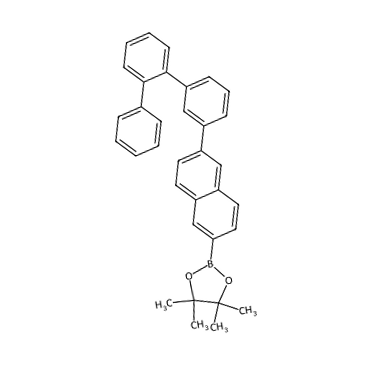 CC1(C)OB(c2ccc3cc(-c4cccc(-c5ccccc5-c5ccccc5)c4)ccc3c2)OC1(C)C